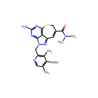 COc1c(C)cnc(Cn2nc3c4c(nc(N)nc42)SCC(C(=O)N(C)C)=C3)c1C